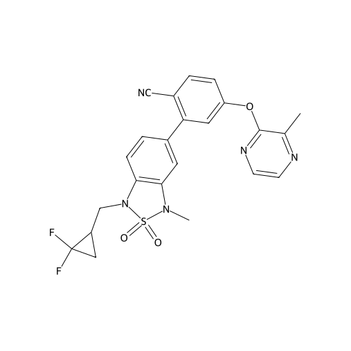 Cc1nccnc1Oc1ccc(C#N)c(-c2ccc3c(c2)N(C)S(=O)(=O)N3CC2CC2(F)F)c1